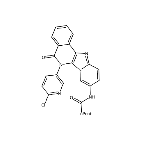 CCCCCC(=O)Nc1ccc2nc3c4ccccc4c(=O)n(-c4ccc(Cl)nc4)c3n2c1